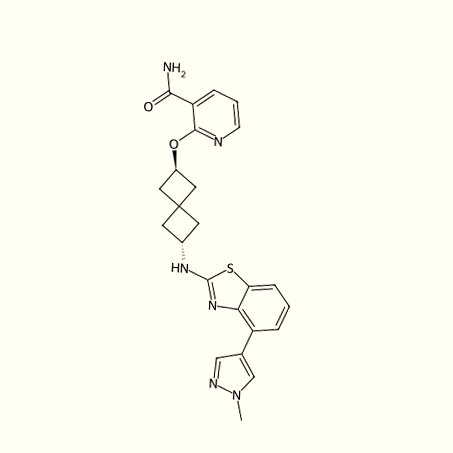 Cn1cc(-c2cccc3sc(N[C@H]4CC5(C4)C[C@H](Oc4ncccc4C(N)=O)C5)nc23)cn1